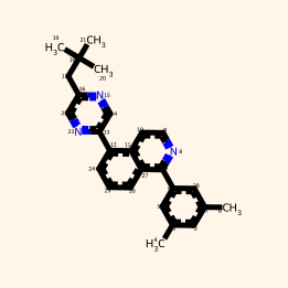 Cc1cc(C)cc(-c2nccc3c(-c4cnc(CC(C)(C)C)cn4)cccc23)c1